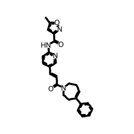 Cc1cc(C(=O)Nc2ccc(/C=C/C(=O)N3CCC=C(c4ccccc4)CC3)cn2)no1